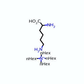 CCCCCC[N+](CCCCCC)(CCCCCC)CCCCCC.NCCCCC(N)C(=O)O